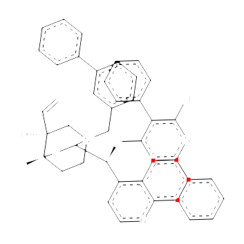 C=C[C@H]1C[N+]2(Cc3cccc(-c4ccccc4)c3)CC[C@H]1C[C@@H]2[C@@H](Oc1nc(-c2ccccc2)nc(Cl)c1-c1ccccc1)c1ccnc2ccccc12